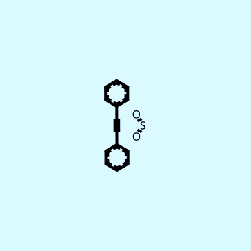 C(#Cc1ccccc1)c1ccccc1.O=S=O